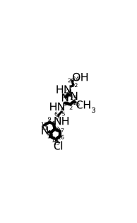 Cc1cc(NCCNc2ccnc3cc(Cl)ccc23)nc(NCCO)n1